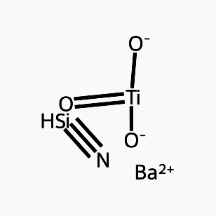 N#[SiH].[Ba+2].[O]=[Ti]([O-])[O-]